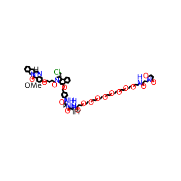 COc1cc2c(cc1OCCCC(=O)N1C[C@@H](CCl)c3c1cc(OCc1ccc(NC(=O)[C@H](C)NC(=O)[C@@H](NC(=O)CCOCCOCCOCCOCCOCCOCCOCCOCCNC(=O)CCN4C(=O)C=CC4=O)C(C)C)cc1)c1ccccc31)N=C[C@@H]1Cc3ccccc3CN1C2=O